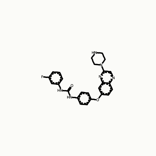 O=C(Nc1ccc(Oc2ccc3ncc(N4CCNCC4)nc3c2)cc1)Nc1cccc(F)c1